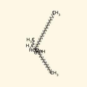 CCCCC.CCCCCCCCCCCCCCCCCCCCCCCCCCCC(O)OC(=O)C(O)CCCCCCCCCCCCCCCC